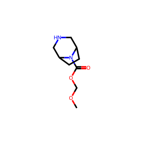 COCOC(=O)N1C2CCC1CNC2